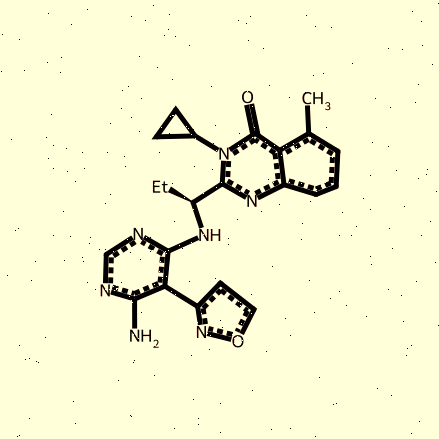 CC[C@H](Nc1ncnc(N)c1-c1ccon1)c1nc2cccc(C)c2c(=O)n1C1CC1